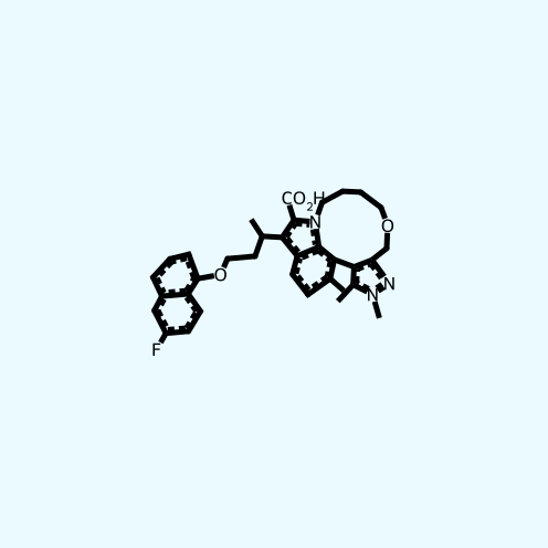 Cc1ccc2c(C(C)CCOc3cccc4cc(F)ccc34)c(C(=O)O)n3c2c1-c1c(nn(C)c1C)COCCCC3